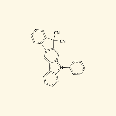 N#CC1(C#N)c2ccccc2-c2cc3c4ccccc4n(-c4ccccc4)c3cc21